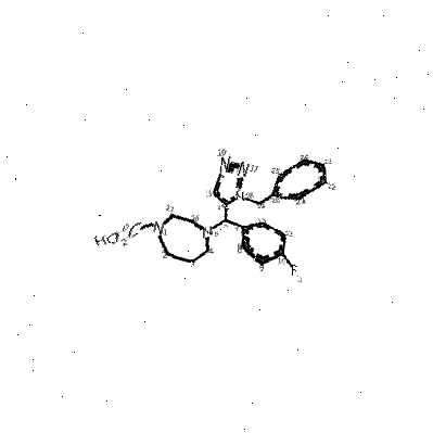 O=C(O)N1CCCN(C(c2ccc(F)cc2)c2cnnn2Cc2ccccc2)CC1